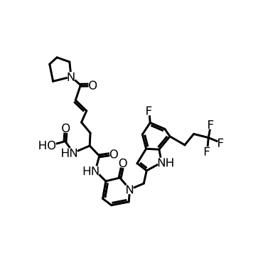 O=C(O)NC(CCC=CC(=O)N1CCCC1)C(=O)Nc1cccn(Cc2cc3cc(F)cc(CCC(F)(F)F)c3[nH]2)c1=O